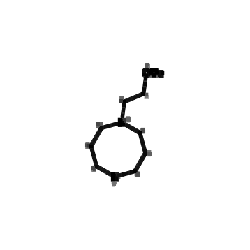 COCCN1CCC[N]CCC1